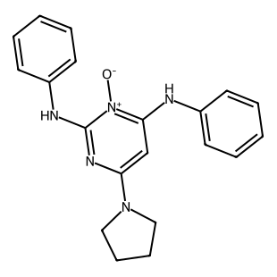 [O-][n+]1c(Nc2ccccc2)cc(N2CCCC2)nc1Nc1ccccc1